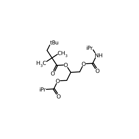 CC(C)NC(=O)OCC(COC(=O)C(C)C)OC(=O)C(C)(C)CC(C)(C)C